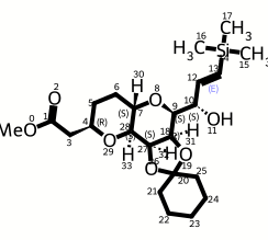 COC(=O)C[C@H]1CC[C@@H]2O[C@@H]([C@@H](O)/C=C/[Si](C)(C)C)[C@H]3OC4(CCCCC4)O[C@H]3[C@H]2O1